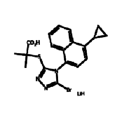 CC(C)(Sc1nnc(Br)n1-c1ccc(C2CC2)c2ccccc12)C(=O)O.[LiH]